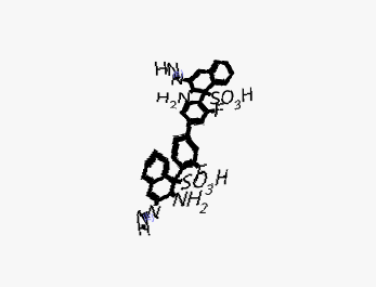 [H]/N=N/C1=Cc2ccccc2C(c2ccc(-c3ccc(C4(S(=O)(=O)O)c5ccccc5C=C(/N=N/[H])C4N)c(F)c3)cc2F)(S(=O)(=O)O)C1N